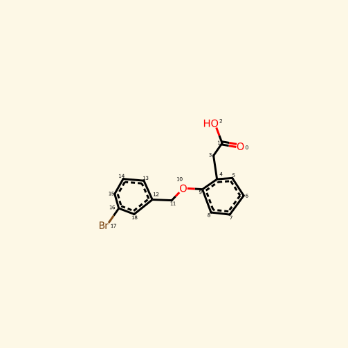 O=C(O)Cc1ccccc1OCc1cccc(Br)c1